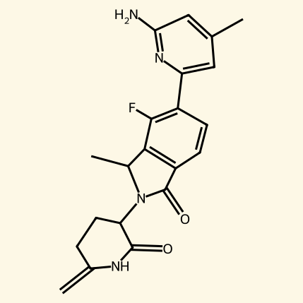 C=C1CCC(N2C(=O)c3ccc(-c4cc(C)cc(N)n4)c(F)c3C2C)C(=O)N1